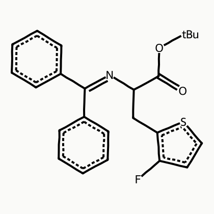 CC(C)(C)OC(=O)C(Cc1sccc1F)N=C(c1ccccc1)c1ccccc1